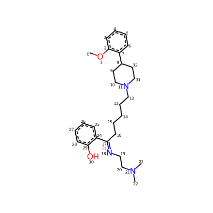 COc1ccccc1C1CCN(CCCCC/C(=N\CCN(C)C)c2ccccc2O)CC1